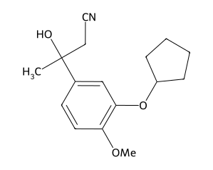 COc1ccc(C(C)(O)CC#N)cc1OC1CCCC1